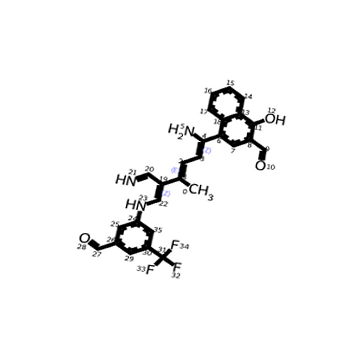 CC(=C\C=C(/N)c1cc(C=O)c(O)c2ccccc12)/C(C=N)=C/Nc1cc(C=O)cc(C(F)(F)F)c1